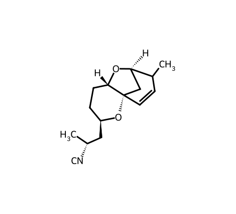 [C-]#[N+][C@H](C)C[C@H]1CC[C@@H]2O[C@@H]3C[C@]2(C=CC3C)O1